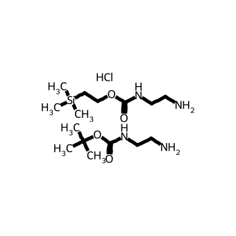 CC(C)(C)OC(=O)NCCN.C[Si](C)(C)CCOC(=O)NCCN.Cl